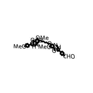 COc1ccc(C2=CN3C(=O)c4cc(OC)c(OCCCCCOc5cc6c(cc5OC)C(=O)N5C=C(c7ccc(C=O)cc7)C[C@H]5C=N6)cc4N=C[C@@H]3C2)cc1